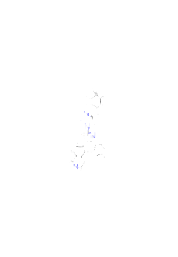 N[C@H](CNC1=NC(c2ccccc2)C(c2ccc3cnccc3c2)S1)Cc1ccc(C(F)(F)F)cc1